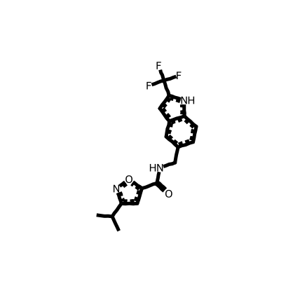 CC(C)c1cc(C(=O)NCc2ccc3[nH]c(C(F)(F)F)cc3c2)on1